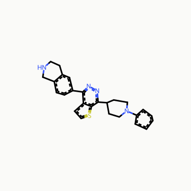 c1ccc(N2CCC(c3nnc(-c4ccc5c(c4)CCNC5)c4ccsc34)CC2)cc1